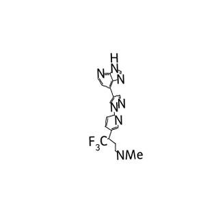 CNCCC(c1ccc(-n2cc(-c3ccnc4[nH]cnc34)cn2)nc1)C(F)(F)F